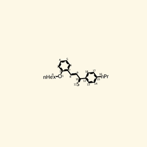 CCCCCCOc1ccccc1C=CC(=S)c1ccc(CCC)cc1